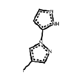 Ic1cnn(-c2ccn[nH]2)c1